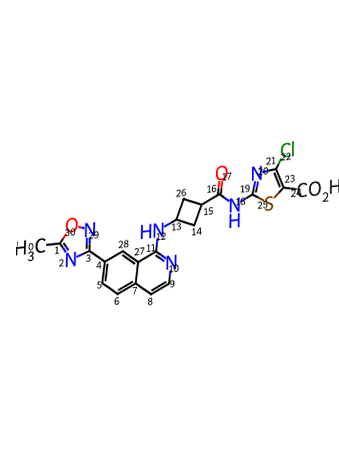 Cc1nc(-c2ccc3ccnc(NC4CC(C(=O)Nc5nc(Cl)c(C(=O)O)s5)C4)c3c2)no1